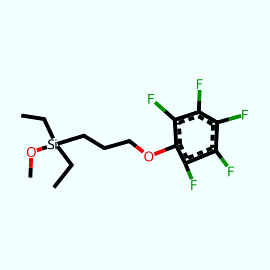 CC[Si](CC)(CCCOc1c(F)c(F)c(F)c(F)c1F)OC